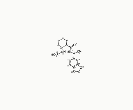 N#CC(NC(=O)[C@@H]1CCCC[C@H]1NC(=O)O)c1ccc2c(c1)OCO2